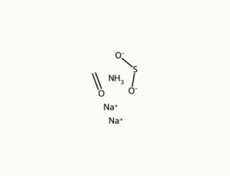 C=O.N.[Na+].[Na+].[O-]S[O-]